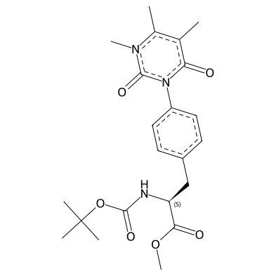 COC(=O)[C@H](Cc1ccc(-n2c(=O)c(C)c(C)n(C)c2=O)cc1)NC(=O)OC(C)(C)C